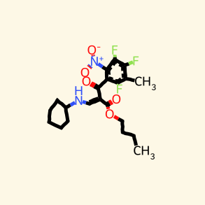 CCCCOC(=O)/C(=C/NC1CCCCC1)C(=O)c1c(F)c(C)c(F)c(F)c1[N+](=O)[O-]